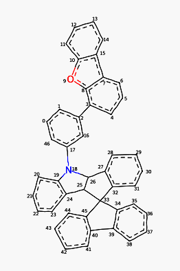 c1cc(-c2cccc3c2oc2ccccc23)cc(N2c3ccccc3C3C2c2ccccc2C32c3ccccc3-c3ccccc32)c1